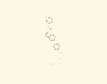 O=C(O)CC1CCC(c2ccc(-c3ccc4c(ccn4C(=O)Nc4cccnc4)c3)cc2)CC1